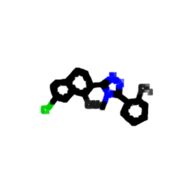 COc1c(-c2nnc(-c3ccccc3C(F)(F)F)n2C)ccc2ccc(Cl)cc12